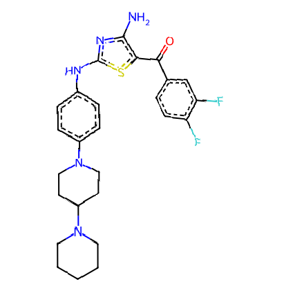 Nc1nc(Nc2ccc(N3CCC(N4CCCCC4)CC3)cc2)sc1C(=O)c1ccc(F)c(F)c1